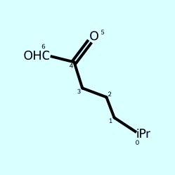 CC(C)CCCC(=O)C=O